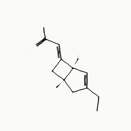 CCC1=C[C@H]2C(=CC(=O)O)C[C@H]2C1